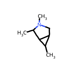 CC1C2CN(C)C(C)C12